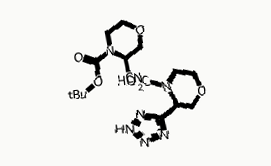 CC(C)(C)OC(=O)N1CCOCC1C#N.O=C(O)N1CCOCC1c1nn[nH]n1